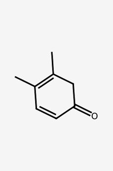 CC1=C(C)CC(=O)C=C1